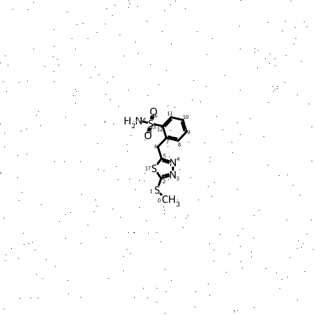 CSc1nnc(Cc2ccccc2S(N)(=O)=O)s1